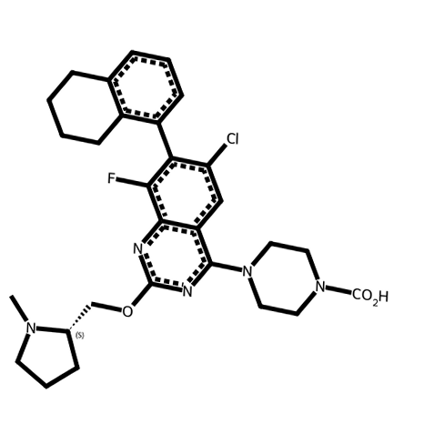 CN1CCC[C@H]1COc1nc(N2CCN(C(=O)O)CC2)c2cc(Cl)c(-c3cccc4c3CCCC4)c(F)c2n1